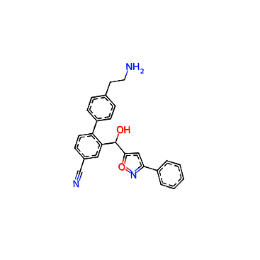 N#Cc1ccc(-c2ccc(CCN)cc2)c(C(O)c2cc(-c3ccccc3)no2)c1